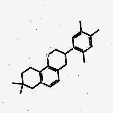 Cc1cc(C)c(C2COc3c(ccc4c3CCC(C)(C)C4)C2)cc1C